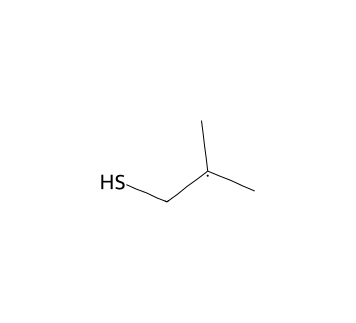 C[C](C)CS